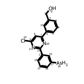 OCc1cccc(-c2cc(Cl)nc(-c3cccc([AsH2])c3)n2)c1